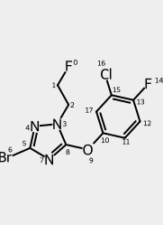 FCCn1nc(Br)nc1Oc1ccc(F)c(Cl)c1